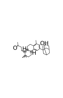 CC(=O)CC[C@H]1[C@@H]2CCc3c(cc(C45CC6CC(CC(C6)C4)C5)c(O)c3C)[C@H]2CC[C@H]1C